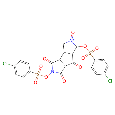 O=C1C2C(=O)N(OS(=O)(=O)c3ccc(Cl)cc3)C(=O)C2C2C[N+](=O)C(OS(=O)(=O)c3ccc(Cl)cc3)C12